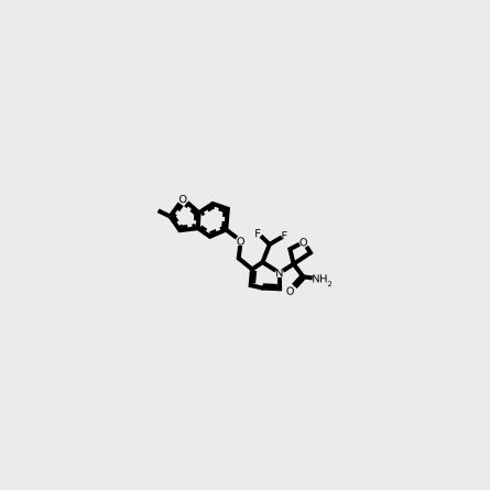 Cc1cc2cc(OCC3=CC=CN(C4(C(N)=O)COC4)C3C(F)F)ccc2o1